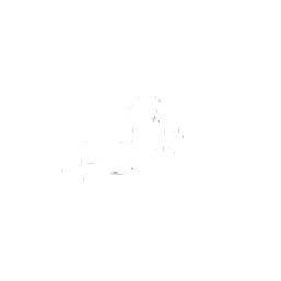 Cc1ccc(C(F)(F)F)cc1-c1ccnn1C